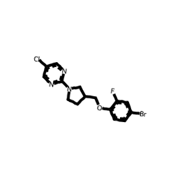 Fc1cc(Br)ccc1OCC1CCN(c2ncc(Cl)cn2)C1